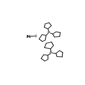 C1CCC(P(C2CCCC2)C2CCCC2)C1.C1CCC(P(C2CCCC2)C2CCCC2)C1.[I][Ni][I]